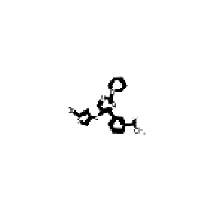 CC(=O)c1cccc(-c2nc(N3CC=CCC3)ncc2Sc2csc(Br)c2)c1